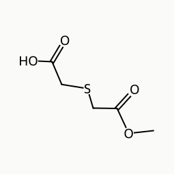 COC(=O)CSCC(=O)O